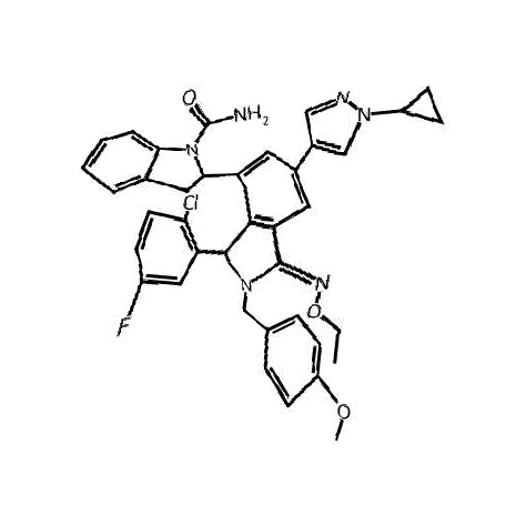 CCON=C1c2cc(-c3cnn(C4CC4)c3)cc(C3Cc4ccccc4N3C(N)=O)c2C(c2cc(F)ccc2Cl)N1Cc1ccc(OC)cc1